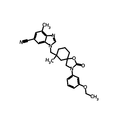 CCOc1cccc(N2CC3(CCCC(C)(Cn4cnc5c(C)cc(C#N)cc54)C3)OC2=O)c1